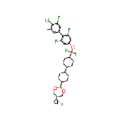 CC1COC(C2CCC(C3CCC(C(F)(F)Oc4cc(F)c(-c5cc(F)c(Cl)c(F)c5)c(F)c4)CC3)CC2)OC1